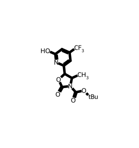 CC1C(c2cc(C(F)(F)F)cc(O)n2)OC(=O)N1C(=O)OC(C)(C)C